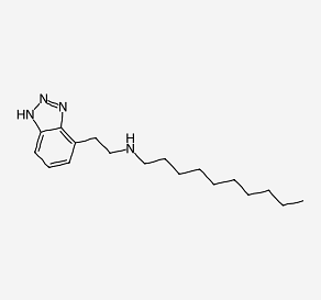 CCCCCCCCCCNCCc1cccc2[nH]nnc12